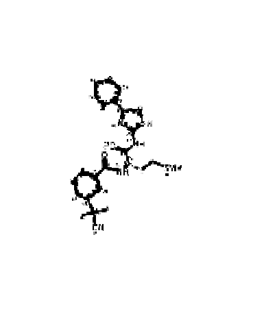 CSCC[C@H](NC(=O)c1cccc(C(C)(C)O)c1)C(=O)Nc1nc(-c2ccccc2)cs1